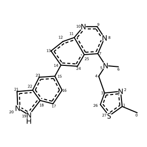 Cc1nc(CN(C)c2ncnc3ccc(-c4ccc5[nH]ncc5c4)cc23)cs1